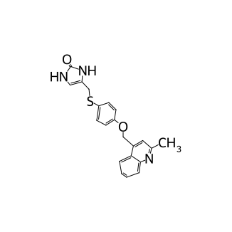 Cc1cc(COc2ccc(SCc3c[nH]c(=O)[nH]3)cc2)c2ccccc2n1